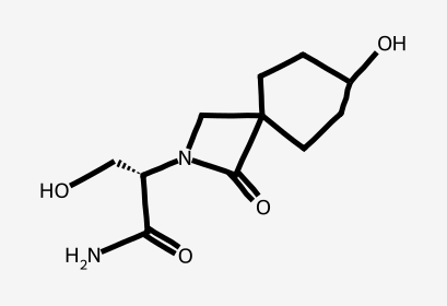 NC(=O)[C@H](CO)N1CC2(CCC(O)CC2)C1=O